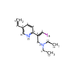 C=Cc1ccc(C(=CI)CN(CC)CC)nc1